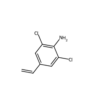 C=Cc1cc(Cl)c(N)c(Cl)c1